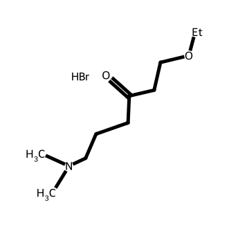 Br.CCOCCC(=O)CCCN(C)C